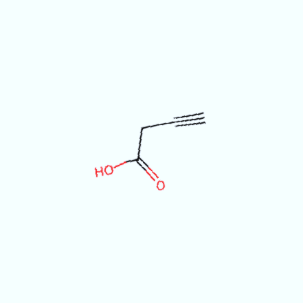 C#CCC(=O)O